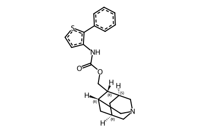 O=C(Nc1ccsc1-c1ccccc1)OC[C@@H]1[C@@H]2C[C@@H]3C[C@H]1CN(C3)C2